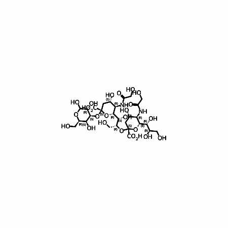 O=C(CO)N[C@H]1[C@H]([C@H](O)[C@H](O)CO)O[C@@](O[C@H](CO)[C@@H](O)[C@@H]2O[C@@](O[C@H]3[C@@H](O)[C@@H](CO)OC(O)[C@@H]3O)(C(=O)O)C[C@H](O)[C@H]2NC(=O)CO)(C(=O)O)C[C@@H]1O